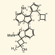 CNC(=O)C1(c2cccc(-c3cc(-c4ccnn4C4CCC4)c4c(N)ncnn34)c2)CC(C)(O)C1